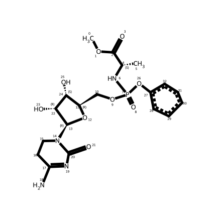 COC(=O)[C@H](C)NP(=O)(OC[C@H]1O[C@@H](N2CCC(N)=NC2=O)[C@H](O)[C@@H]1O)Oc1ccccc1